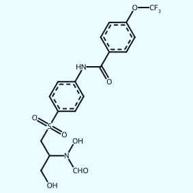 O=CN(O)C(CO)CS(=O)(=O)c1ccc(NC(=O)c2ccc(OC(F)(F)F)cc2)cc1